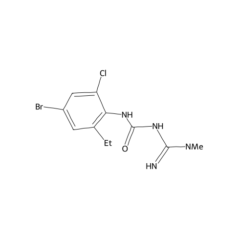 CCc1cc(Br)cc(Cl)c1NC(=O)NC(=N)NC